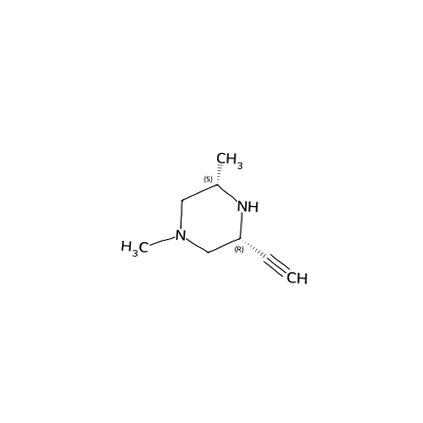 C#C[C@@H]1CN(C)C[C@H](C)N1